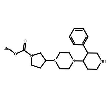 CC(C)(C)OC(=O)N1CCC(N2CCN(C3CCNCC3c3ccccc3)CC2)C1